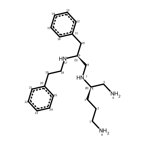 NCCC[C@H](CN)NC[C@H](Cc1ccccc1)NCCc1ccccc1